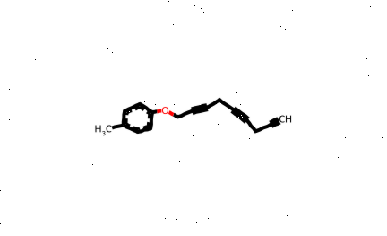 C#CCC#CCC#CCOc1ccc(C)cc1